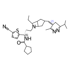 CCC1C2CC(/C=C3/CC(C(C)C)=NN=C3C)CC2N1CC[C@H](NC(=O)C1CCCC1)c1ccc(C#N)s1